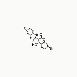 O=C(Nc1ccc(F)cc1F)c1c(O)c2ccc(Br)cc2oc1=O